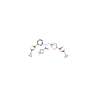 O=C(C1CC(F)(F)C1)N(CC12CCC(c3nnc(C4CC4)o3)(CC1)CC2)c1cccc(-c2nc(C3CC3)no2)c1